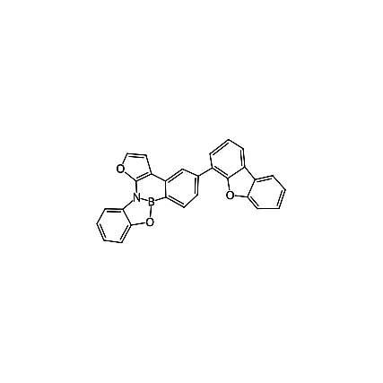 c1ccc2c(c1)OB1c3ccc(-c4cccc5c4oc4ccccc45)cc3-c3ccoc3N12